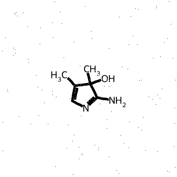 CC1=CN=C(N)C1(C)O